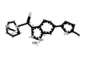 Br.Cc1ccc(-c2ccc3c(C(=O)N4CCN5CCC4CC5)n[nH]c3c2)s1